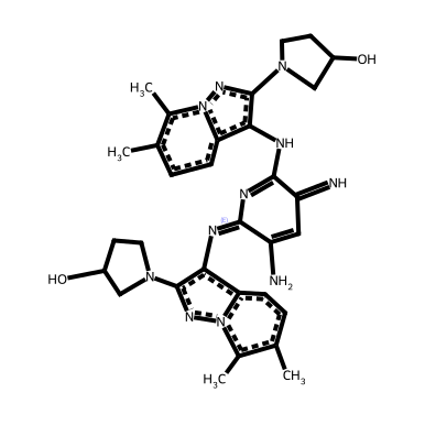 Cc1ccc2c(/N=C3/N=C(Nc4c(N5CCC(O)C5)nn5c(C)c(C)ccc45)C(=N)C=C3N)c(N3CCC(O)C3)nn2c1C